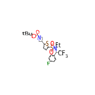 CCN(C(c1ccc(F)cc1)C(F)(F)F)S(=O)(=O)c1ccc(C2CN(C(=O)OC(C)(C)C)C2)s1